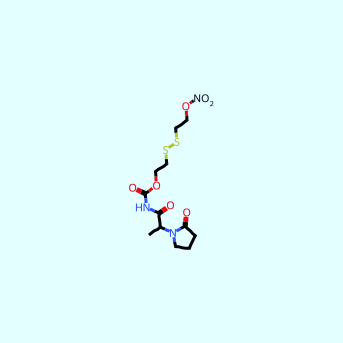 CC(C(=O)NC(=O)OCCSSCCO[N+](=O)[O-])N1CCCC1=O